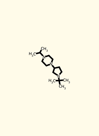 CC(C)N1CCN(C2CCN(C(C)(C)C)C2)CC1